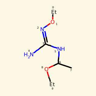 CCON=C(N)NC(C)OCC